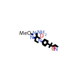 COc1nc(N)c2c(n1)CCN(c1ccc(C(C)(C)c3ccno3)cc1)C2=O